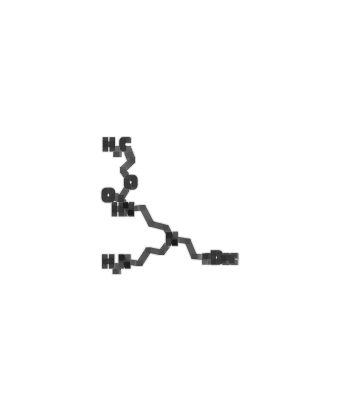 C=CCOC(=O)NCCCN(CCCN)CCCCCCCCCCCC